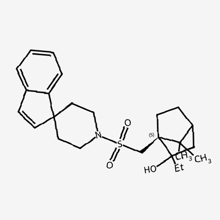 CCC1(O)CC2CC[C@]1(CS(=O)(=O)N1CCC3(C=Cc4ccccc43)CC1)C2(C)C